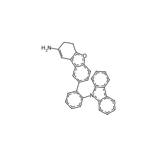 NC1=Cc2c(oc3ccc(-c4ccccc4-n4c5ccccc5c5ccccc54)cc23)CC1